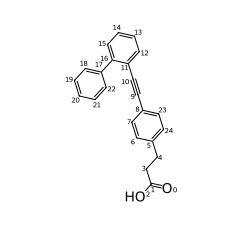 O=C(O)CCc1ccc(C#Cc2ccccc2-c2ccccc2)cc1